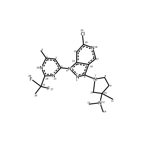 Cc1cc(-n2nc(N3CCC(C)(N(C)C)C3)c3cnc(Cl)cc32)nc(C(C)(F)F)n1